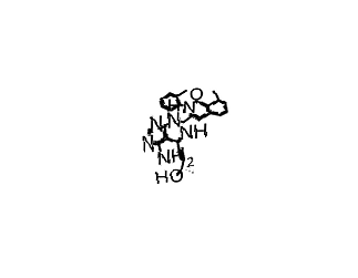 Cc1ccccc1-n1c(CNc2ncnc(N)c2C(=N)C#C[C@H](C)O)cc2cccc(C)c2c1=O